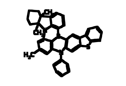 Cc1cc2c3c(c1)N1c4c(cccc4C4(C)CCCCC14C)B3c1cc3c(cc1N2c1ccccc1)sc1ccccc13